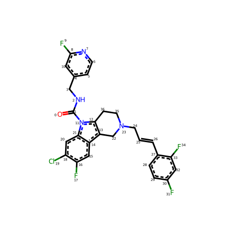 O=C(NCc1ccnc(F)c1)n1c2c(c3cc(F)c(Cl)cc31)CN(CC=Cc1ccc(F)cc1F)CC2